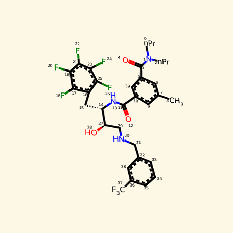 CCCN(CCC)C(=O)c1cc(C)cc(C(=O)N[C@@H](Cc2c(F)c(F)c(F)c(F)c2F)[C@H](O)CNCc2cccc(C(F)(F)F)c2)c1